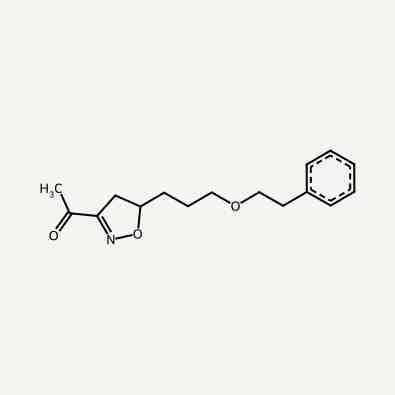 CC(=O)C1=NOC(CCCOCCc2ccccc2)C1